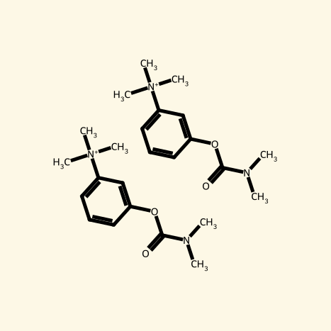 CN(C)C(=O)Oc1cccc([N+](C)(C)C)c1.CN(C)C(=O)Oc1cccc([N+](C)(C)C)c1